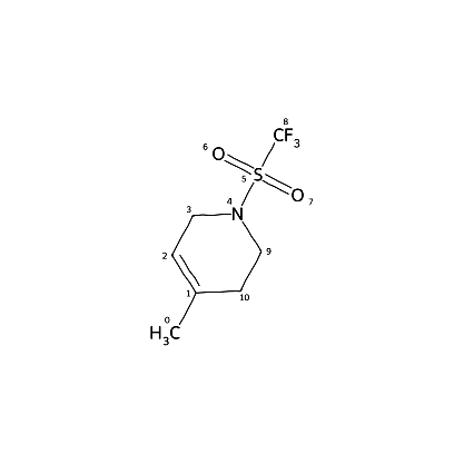 CC1=CCN(S(=O)(=O)C(F)(F)F)CC1